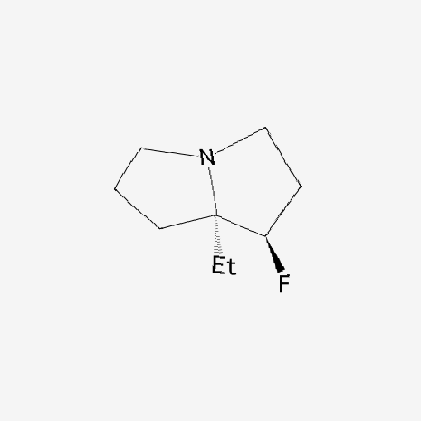 CC[C@]12CCCN1CC[C@H]2F